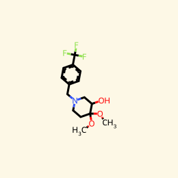 COC1(OC)CCN(Cc2ccc(C(F)(F)F)cc2)CC1O